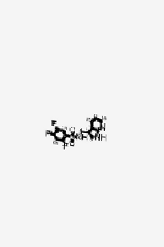 O=S(=O)(NCc1c[nH]c2ncccc12)c1cc(F)c(F)cc1F